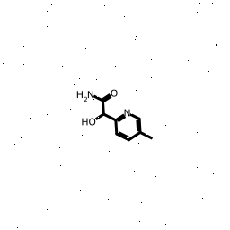 Cc1ccc(C(O)C(N)=O)nc1